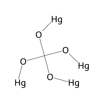 [Hg][O]C([O][Hg])([O][Hg])[O][Hg]